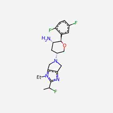 CCn1c(C(C)F)nc2c1CN([C@H]1CO[C@H](c3cc(F)ccc3F)[C@@H](N)C1)C2